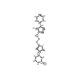 Cn1c(OCCc2cnn(-c3cccc(Cl)c3)n2)nnc1-c1ccncc1